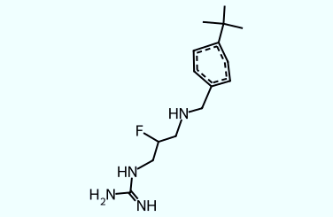 CC(C)(C)c1ccc(CNCC(F)CNC(=N)N)cc1